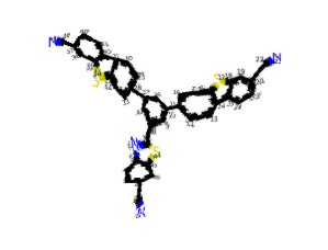 N#Cc1ccc2nc(-c3cc(-c4ccc5c(c4)sc4cc(C#N)ccc45)cc(-c4ccc5c(c4)sc4cc(C#N)ccc45)c3)sc2c1